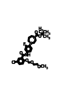 COCCOCOc1ccc(Cl)cc1C(=O)Nc1ccc(N2CCCN(C(=O)OC(C)(C)C)CC2)c(F)c1